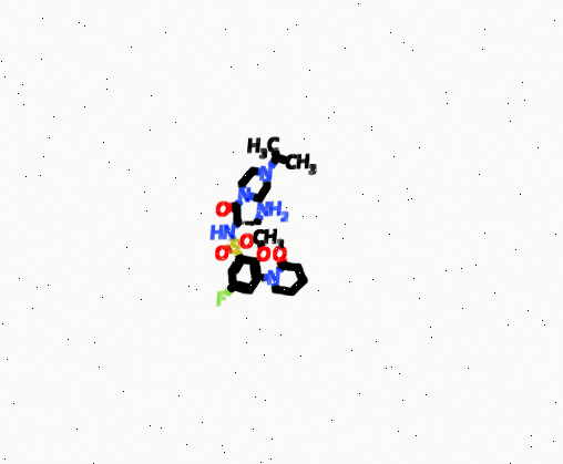 COc1c(N2CCCCC2=O)cc(F)cc1S(=O)(=O)N[C@@H](CN)C(=O)N1CCN(C(C)C)CC1